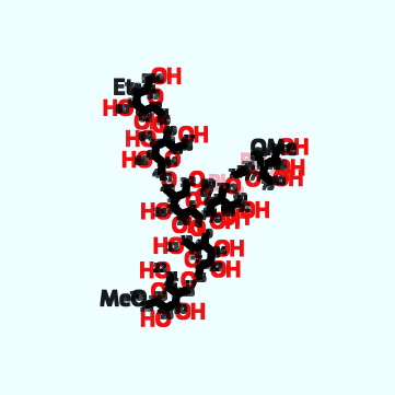 B[C@@H](OCC1OC(COCC2C(CO)OC(COCC3C(CO)OC(COC)C(O)C3O)C(O)C2O)C(O)C(O)C1COCC1OC(CO)C(COCC2OC(CO)C(CC)C(O)C2O)C(O)C1O)OC(CO)C(COC[C@H](B)OC(CO)C(COC)[C@@H](O)CO)[C@@H](O)CO